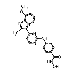 COc1cccn2c(-c3ccnc(Nc4ccc(C(=O)NO)cc4)n3)c(C)nc12